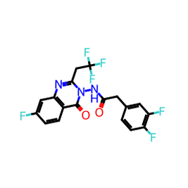 O=C(Cc1ccc(F)c(F)c1)Nn1c(CC(F)(F)F)nc2cc(F)ccc2c1=O